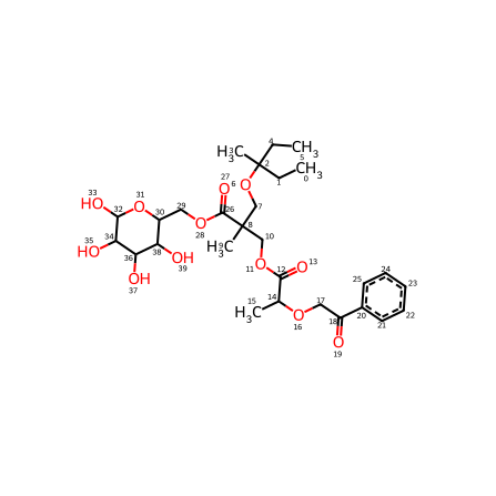 CCC(C)(CC)OCC(C)(COC(=O)C(C)OCC(=O)c1ccccc1)C(=O)OCC1OC(O)C(O)C(O)C1O